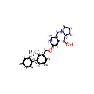 Cc1c(COc2ccc(CN3CCCC3CO)cn2)cccc1-c1ccccc1